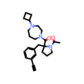 C#Cc1cccc(CC2(C(=O)N3CCCN(C4CCC4)CC3)CCCN2C(C)=O)c1